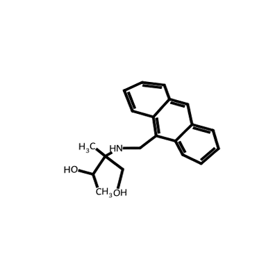 CC(O)C(C)(CO)NCc1c2ccccc2cc2ccccc12